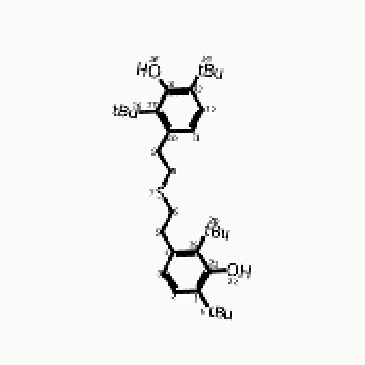 CC(C)(C)c1c[c]c(CCSCCc2[c]cc(C(C)(C)C)c(O)c2C(C)(C)C)c(C(C)(C)C)c1O